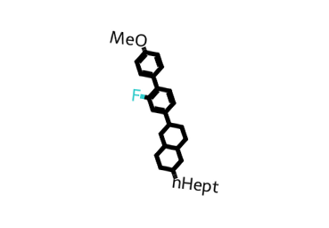 CCCCCCCC1CCC2CC(c3ccc(-c4ccc(OC)cc4)c(F)c3)CCC2C1